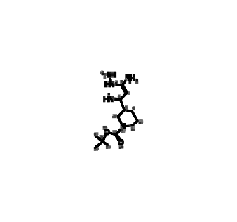 CNN/C(N)=C\C(=N)C1CCCN(C(=O)OC(C)(C)C)C1